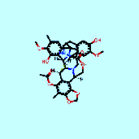 COc1cc2c(cc1O)CCN[C@]21CS[C@@H]2c3c(OC(C)=O)c(C)c4c(c3[C@H](COC1=O)N1C2[C@@H]2c3c(cc(C)c(OC)c3O)C3(C)C[C@@H]([C@@H]1C)N23)OCO4